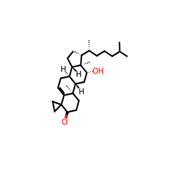 CC(C)CCC[C@@H](C)[C@H]1CC[C@H]2[C@@H]3CC=C4C5(CC5)C(=O)CC[C@]4(C)[C@H]3C[C@@H](O)[C@]12C